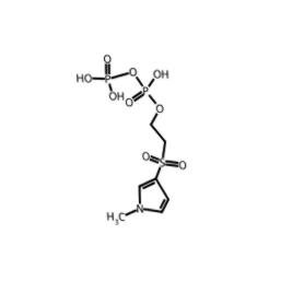 Cn1ccc(S(=O)(=O)CCOP(=O)(O)OP(=O)(O)O)c1